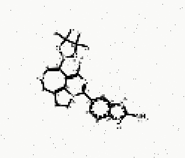 CC1(C)OB(C2=COCC3=C4C2=C(F)N=C(c2ccc5oc(N)nc5c2)N4CC3)OC1(C)C